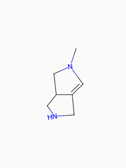 CN1C=C2CNCC2C1